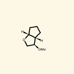 CO[C@H]1CO[C@@H]2CCC[C@H]12